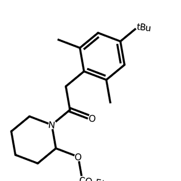 CCOC(=O)OC1CCCCN1C(=O)Cc1c(C)cc(C(C)(C)C)cc1C